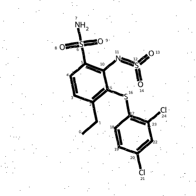 CCc1ccc(S(N)(=O)=O)c(N=S(=O)=O)c1Sc1ccc(Cl)cc1Cl